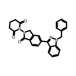 O=C1c2ccc(-c3nn(Cc4ccccc4)c4ccccc34)cc2CN1N1C(=O)CCCC1=O